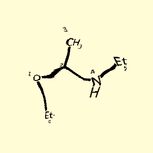 C[CH]OC(C)NCC